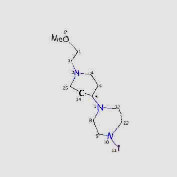 COCCN1CCC(N2CCN(I)CC2)CC1